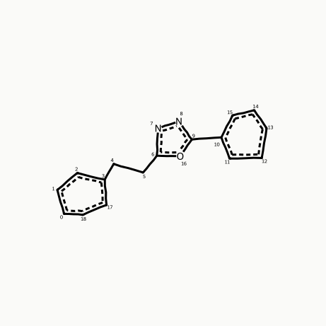 c1ccc(CCc2nnc(-c3ccccc3)o2)cc1